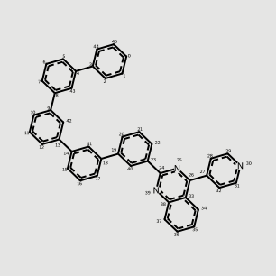 c1ccc(-c2cccc(-c3cccc(-c4cccc(-c5cccc(-c6nc(-c7ccncc7)c7ccccc7n6)c5)c4)c3)c2)cc1